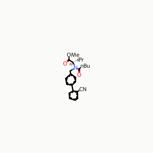 CCCCC(=O)N(Cc1ccc(-c2ccccc2C#N)cc1)[C@H](C(=O)OC)C(C)C